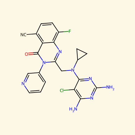 N#Cc1ccc(F)c2nc(CN(c3nc(N)nc(N)c3Cl)C3CC3)n(-c3cccnc3)c(=O)c12